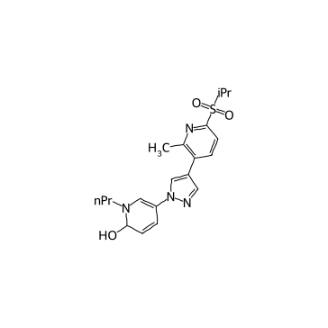 CCCN1C=C(n2cc(-c3ccc(S(=O)(=O)C(C)C)nc3C)cn2)C=CC1O